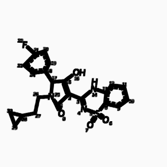 O=C1C(C2=NS(=O)(=O)c3ccccc3N2)=C(O)C(c2ccc(F)cc2)N1CCC1CC1